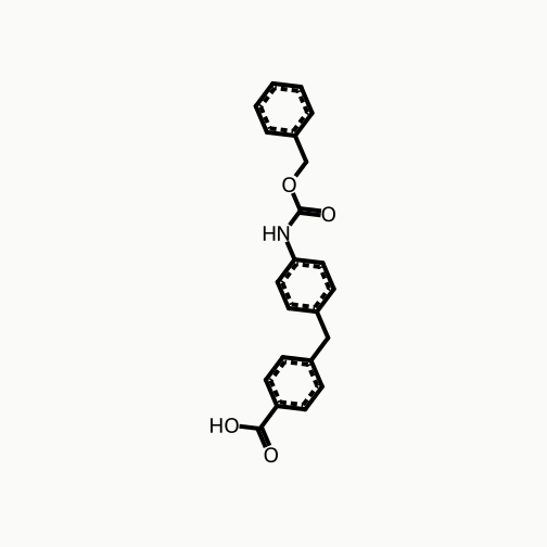 O=C(Nc1ccc(Cc2ccc(C(=O)O)cc2)cc1)OCc1ccccc1